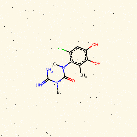 CCN(C(=N)N)C(=O)N(C)c1c(Cl)cc(O)c(O)c1C